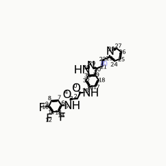 O=C(CC(=O)Nc1ccc(F)c(F)c1F)Nc1ccc2c(/C=C/c3ccccn3)n[nH]c2c1